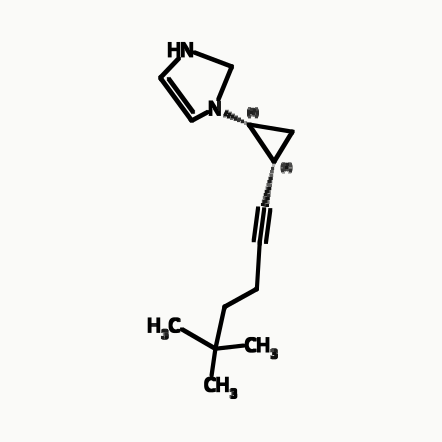 CC(C)(C)CCC#C[C@H]1C[C@H]1N1C=CNC1